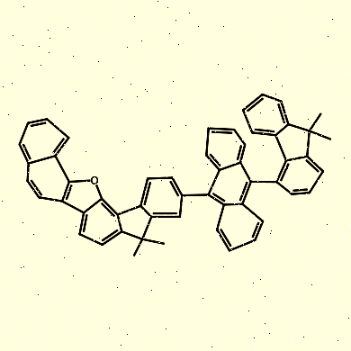 CC1(C)c2ccccc2-c2c(-c3c4ccccc4c(-c4ccc5c(c4)C(C)(C)c4ccc6c(oc7c8ccccc8ccc67)c4-5)c4ccccc34)cccc21